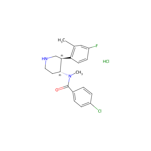 Cc1cc(F)ccc1[C@@H]1CNCC[C@H]1N(C)C(=O)c1ccc(Cl)cc1.Cl